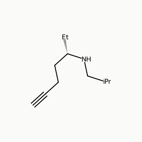 C#CCC[C@H](CC)NCC(C)C